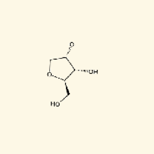 [O][C@H]1CO[C@H](CO)[C@H]1O